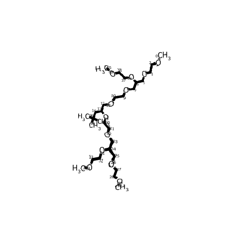 COCCOCC(COCCOCC(CC(C)(C)C)OCCOCC(COCCOC)OCCOC)OCCOC